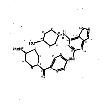 CNC1CCN(C(=O)c2ccc(Nc3nc(N[C@H]4CC[C@H](O)CC4)c4sccc4n3)cc2)CC1